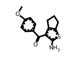 COc1ccc(C(=O)c2c(N)sc3c2CCC3)cc1